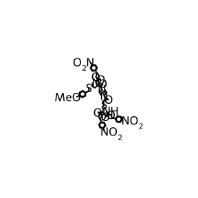 COc1ccc(CS[C@H]2C[C@@H](C(=O)N3CCN(C(=O)CSC[C@@H](NC(=O)OCc4ccc([N+](=O)[O-])cc4)C(=O)OCc4ccc([N+](=O)[O-])cc4)CC3)N(C(=O)OCc3ccc([N+](=O)[O-])cc3)C2)cc1